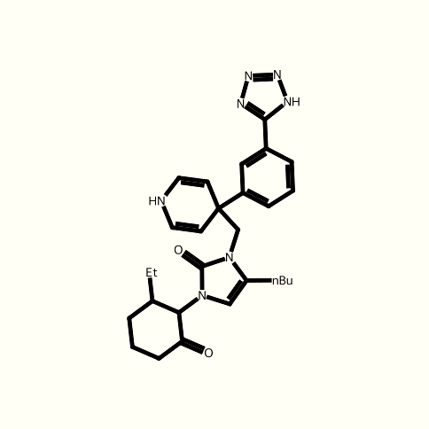 CCCCc1cn(C2C(=O)CCCC2CC)c(=O)n1CC1(c2cccc(-c3nnn[nH]3)c2)C=CNC=C1